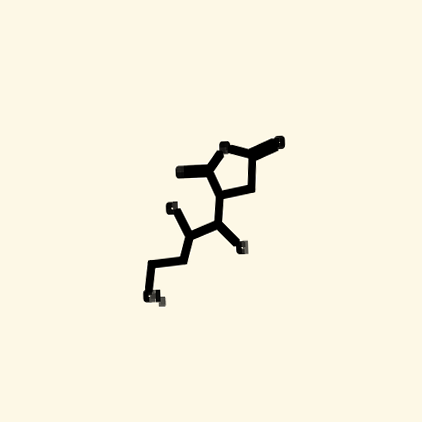 CCCC(Cl)C(Cl)C1CC(=O)OC1=O